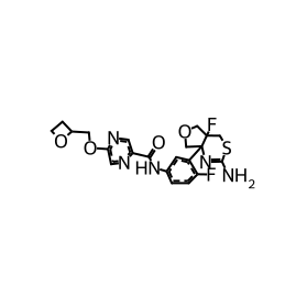 NC1=NC2(c3cc(NC(=O)c4cnc(OCC5CCO5)cn4)ccc3F)COCC2(F)CS1